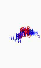 CNC(=O)C(CC(=O)O)NC(=O)[C@H](CC=O)NC(=O)[C@H](CCCNC(=N)N)NC(=O)[C@H](CC=O)NC(=O)CC[C@H](NC(=O)c1ccc(NCc2cnc3nc(N)[nH]c(=O)c3n2)cc1)C(=O)O